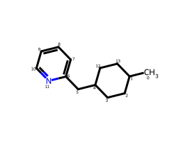 CC1CCC(Cc2ccccn2)CC1